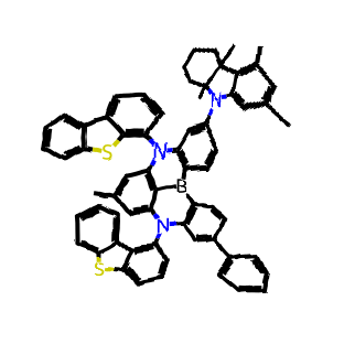 Cc1cc2c3c(c1)N(c1cccc4sc5ccccc5c14)c1cc(-c4ccccc4)ccc1B3c1ccc(N3c4cc(C)cc(C)c4C4(C)CCCCC34C)cc1N2c1cccc2c1sc1ccccc12